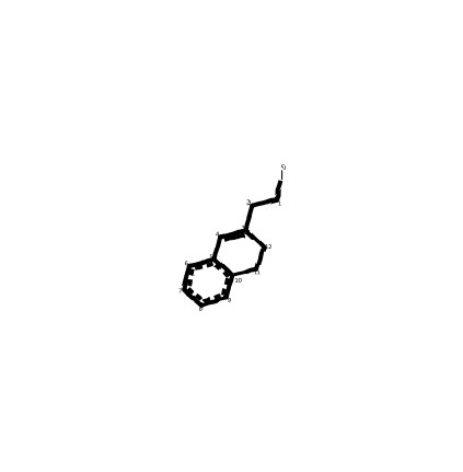 ICCC1=Cc2ccccc2CC1